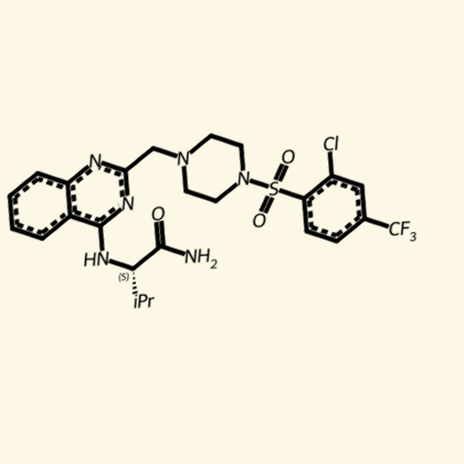 CC(C)[C@H](Nc1nc(CN2CCN(S(=O)(=O)c3ccc(C(F)(F)F)cc3Cl)CC2)nc2ccccc12)C(N)=O